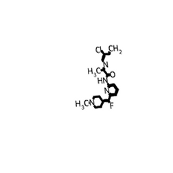 C=C/C(Cl)=C\N=C(/C)C(=O)Nc1cccc(C(F)=C2CCN(C)CC2)n1